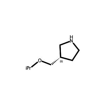 CC(C)OC[C@H]1CCNC1